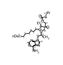 CCCCCCCCCCCCCCCCOC(CC)P(=O)(COC(=O)SC(C)C)COC(C)Cn1cnc2c(N)ncnc21